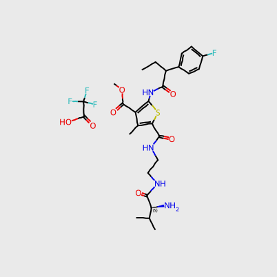 CCC(C(=O)Nc1sc(C(=O)NCCNC(=O)[C@@H](N)C(C)C)c(C)c1C(=O)OC)c1ccc(F)cc1.O=C(O)C(F)(F)F